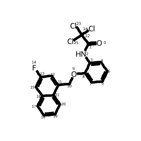 O=C(Nc1ccccc1OCc1cc(F)cc2ccccc12)C(Cl)(Cl)Cl